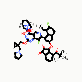 CCc1c(F)ccc2cc(OC3C(=O)C(=O)c4cccc(C(=O)C(C)(C)C)c43)cc(-c3ncc4c(N5C[C@H]6CC[C@@H](C5)N6C(=O)O)nc(OCC5(CN6CC=CC6)CC5)nc4c3F)c12